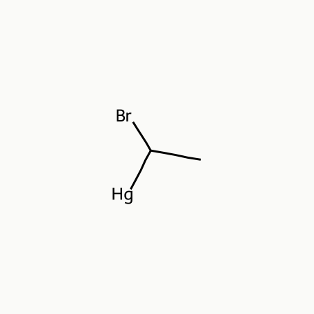 C[CH](Br)[Hg]